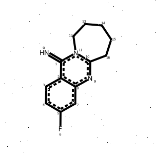 N=c1c2ccc(F)cc2nc2n1CCCCC2